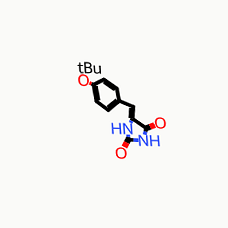 CC(C)(C)Oc1ccc(/C=C2\NC(=O)NC2=O)cc1